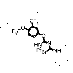 CC(C)N/C(=N\C(=N)Br)Oc1ccc(OC(F)(F)F)c(C(F)(F)F)c1